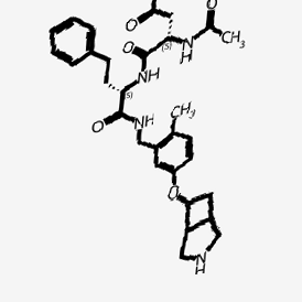 CC(=O)N[C@@H](CC(=O)O)C(=O)N[C@@H](CCc1ccccc1)C(=O)NCc1cc(OC2CC3CNCC32)ccc1C